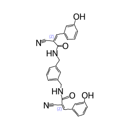 N#C/C(=C/c1cccc(O)c1)C(=O)NCc1cccc(CNC(=O)/C(C#N)=C\c2cccc(O)c2)c1